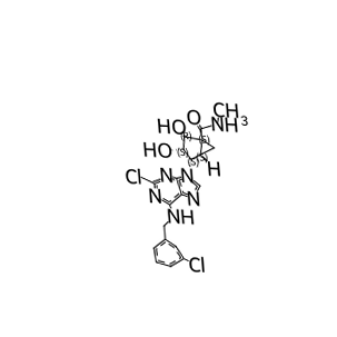 CNC(=O)[C@@]12C[C@@H]1[C@H](n1cnc3c(NCc4cccc(Cl)c4)nc(Cl)nc31)[C@H](O)[C@@H]2O